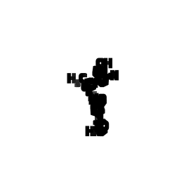 CC1CN(c2ccc(C#N)c3nc(O)ccc23)CC(CN2CC3(C2)OCc2cc(N4CC5(CNCCO5)C4)ccc23)O1